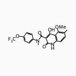 COc1c(C)ccc2[nH]c(=O)c(C(=O)N(C)c3ccc(OC(F)(F)F)cc3)c(O)c12